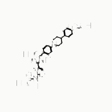 CCOc1ccc(C2CCN(c3ccc([C@H](C)NC(=O)c4coc(NC(C)=O)n4)cc3)CC2)cc1